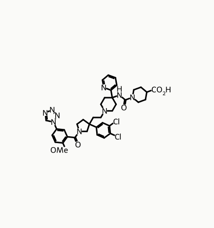 COc1ccc(-n2cnnn2)cc1C(=O)N1CCC(CCN2CCC(NC(=O)N3CCC(C(=O)O)CC3)(c3ccccn3)CC2)(c2ccc(Cl)c(Cl)c2)C1